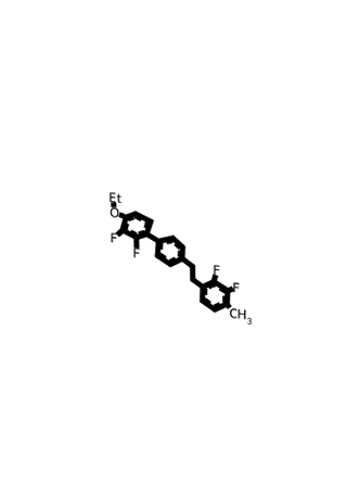 CCOc1ccc(-c2ccc(CCc3ccc(C)c(F)c3F)cc2)c(F)c1F